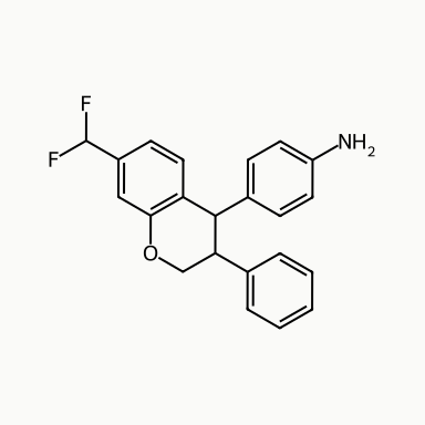 Nc1ccc(C2c3ccc(C(F)F)cc3OCC2c2ccccc2)cc1